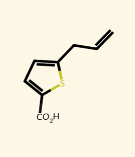 C=CCc1ccc(C(=O)O)s1